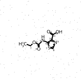 CCOC(=O)Nc1scnc1C(=O)O